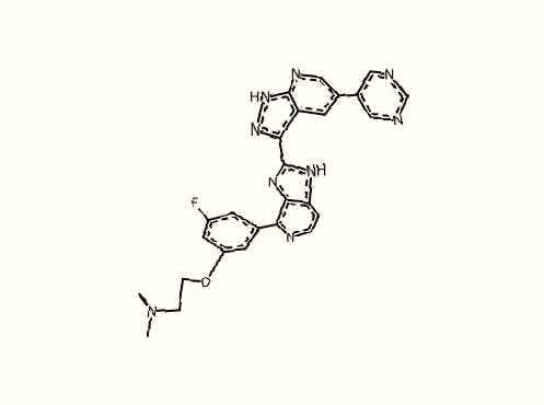 CN(C)CCOc1cc(F)cc(-c2nccc3[nH]c(-c4n[nH]c5ncc(-c6cncnc6)cc45)nc23)c1